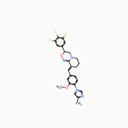 COc1cc(/C=C2\CCCN3CC(c4cc(F)c(F)c(F)c4)ON=C23)ccc1-n1cnc(C)c1